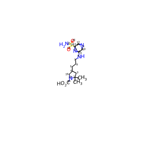 CC1(C)CC(CCCNc2cncc(S(N)(=O)=O)n2)CN1C(=O)O